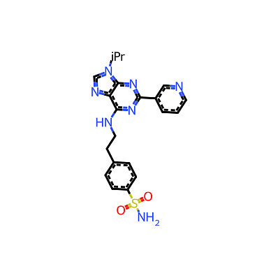 CC(C)n1cnc2c(NCCc3ccc(S(N)(=O)=O)cc3)nc(-c3cccnc3)nc21